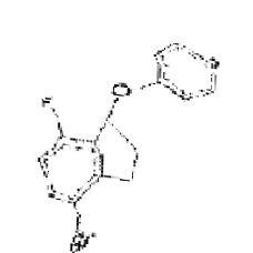 Fc1ccc(Br)c2c1C(Oc1ccpcc1)CC2